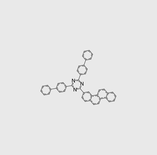 c1ccc(-c2ccc(-c3nc(-c4ccc(-c5ccccc5)cc4)nc(-c4ccc5ccc6c7ccccc7ccc6c5c4)n3)cc2)cc1